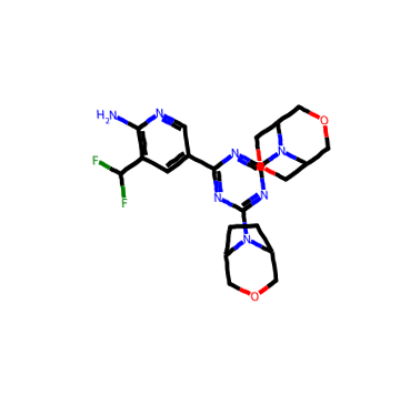 Nc1ncc(-c2nc(N3C4CCC3COC4)nc(N3C4COCC3COC4)n2)cc1C(F)F